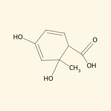 CC1(O)C=C(O)C=CC1C(=O)O